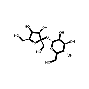 OCC1O[C@H](O[C@]2(CO)O[C@@H](CO)C(O)[C@H]2O)C(O)[C@@H](O)[C@@H]1O